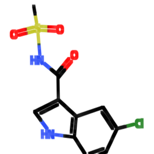 CS(=O)(=O)NC(=O)c1c[nH]c2ccc(Cl)cc12